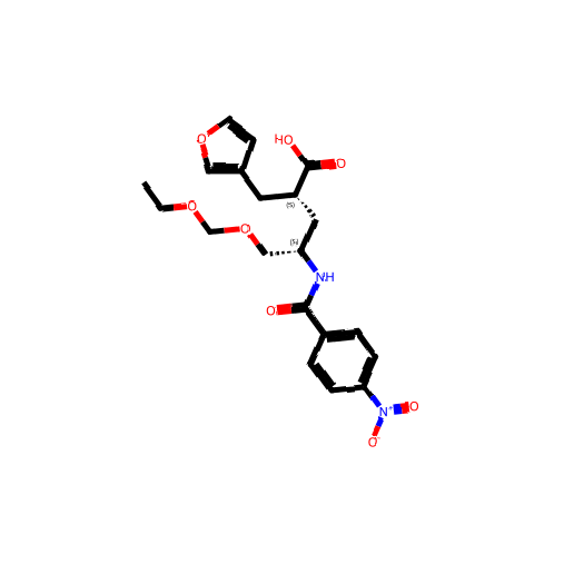 CCOCOC[C@H](C[C@H](Cc1ccoc1)C(=O)O)NC(=O)c1ccc([N+](=O)[O-])cc1